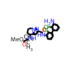 COC(=O)C(C)(C)NC1CCCn2nc(C(=O)Nc3cccc(-c4cccc(N)c4Cl)c3Cl)cc21